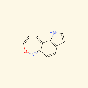 C1=CON=c2ccc3cc[nH]c3c2=C1